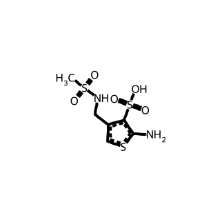 CS(=O)(=O)NCc1csc(N)c1S(=O)(=O)O